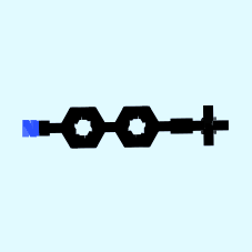 C[Si](C)(C)C#Cc1ccc(-c2ccc(C#N)cc2)cc1